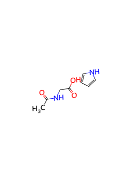 CC(=O)NCC(=O)O.c1cc[nH]c1